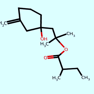 C=C1CCCC(O)(CC(C)(C)OC(=O)C(C)CC)C1